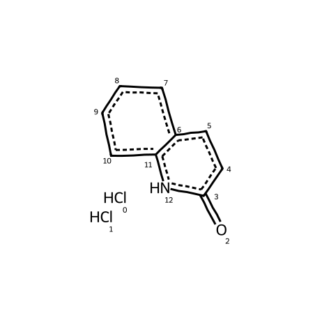 Cl.Cl.O=c1ccc2ccccc2[nH]1